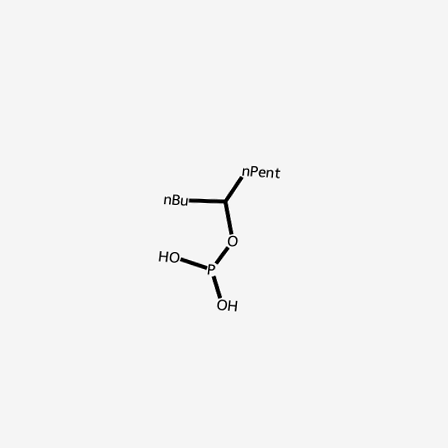 CCCCCC(CCCC)OP(O)O